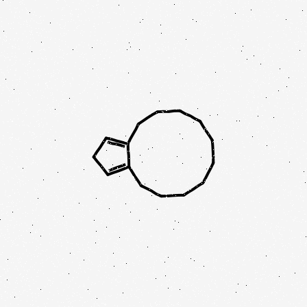 C1=C2CCCCCCCCCCC2=CC1